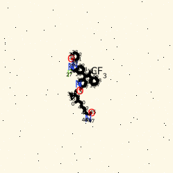 C/C(=C\C1(COc2ccc(/C(=C(/CC(F)(F)F)c3ccccc3)c3ccc4c(c3)c(F)nn4C3CCCCO3)cn2)CC1)CC/C=C/C(=O)N(C)C